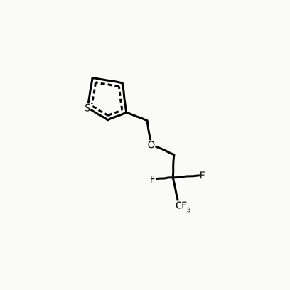 FC(F)(F)C(F)(F)COCc1ccsc1